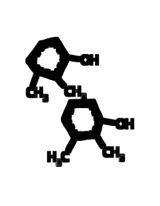 Cc1cccc(O)c1C.Cc1cccc(O)c1C